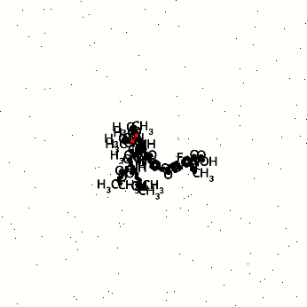 CCn1cc(C(=O)O)c(=O)c2cc(F)c(N3CCN(C(=O)OCc4ccc(NC(=O)[C@H](CCN/C(=N/C(=O)OC(C)(C)C)NC(=O)OC(C)(C)C)NC(=O)[C@@H](NC(=O)[C@H](CCC(=O)OCC(C)C)NC(=O)CCCC(=O)N(C)C)C(C)C)cc4)CC3)cc21